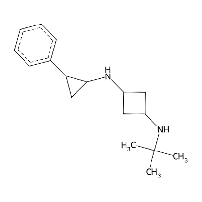 CC(C)(C)NC1CC(NC2CC2c2ccccc2)C1